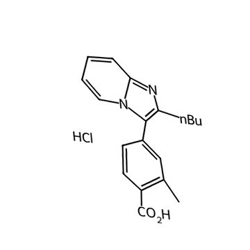 CCCCc1nc2ccccn2c1-c1ccc(C(=O)O)c(C)c1.Cl